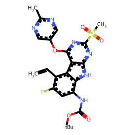 C=Cc1c(F)cc(NC(=O)OC(C)(C)C)c2[nH]c3nc(S(C)(=O)=O)nc(Oc4cnc(C)nc4)c3c12